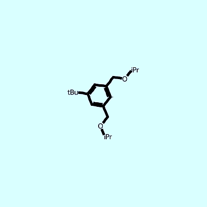 CC(C)OCc1[c]c(COC(C)C)cc(C(C)(C)C)c1